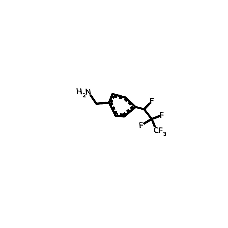 NCc1ccc(C(F)C(F)(F)C(F)(F)F)cc1